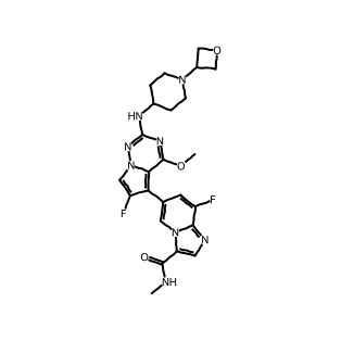 CNC(=O)c1cnc2c(F)cc(-c3c(F)cn4nc(NC5CCN(C6COC6)CC5)nc(OC)c34)cn12